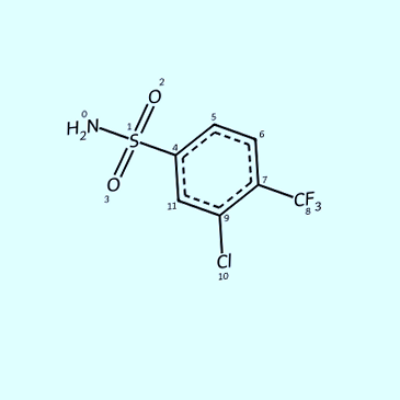 NS(=O)(=O)c1ccc(C(F)(F)F)c(Cl)c1